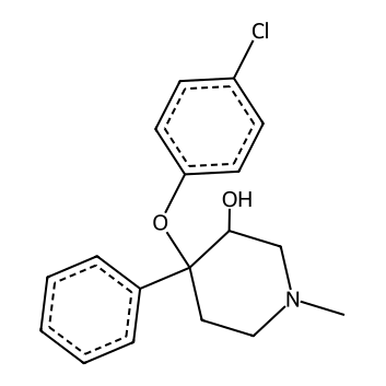 CN1CCC(Oc2ccc(Cl)cc2)(c2ccccc2)C(O)C1